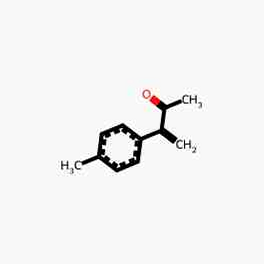 C=C(C(C)=O)c1ccc(C)cc1